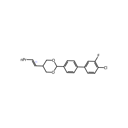 CCC/C=C/C1COC(c2ccc(-c3ccc(Cl)c(F)c3)cc2)OC1